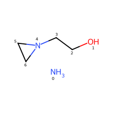 N.OCCN1CC1